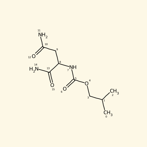 CC(C)COC(=O)NC(CC(N)=O)C(N)=O